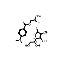 CCCCC(CC)COC(=O)c1ccc(N(C)C)cc1.O=C1O[C@H]([C@@H](O)CO)C(O)=C1O